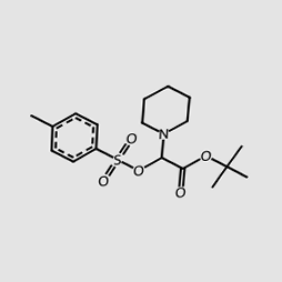 Cc1ccc(S(=O)(=O)OC(C(=O)OC(C)(C)C)N2CCCCC2)cc1